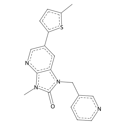 Cc1ccc(-c2cnc3c(c2)n(Cc2cccnc2)c(=O)n3C)s1